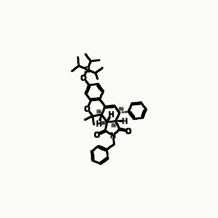 CC(C)[Si](Oc1ccc2c(c1)OC(C)(C)[C@@H]1C2=C[C@H](c2ccccc2)[C@@H]2C(=O)N(Cc3ccccc3)C(=O)[C@@H]21)(C(C)C)C(C)C